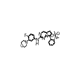 CN(c1ccccc1-c1ccc2cnc(Nc3ccc(F)c(N4CCOCC4)c3)nn12)S(C)(=O)=O